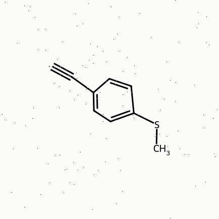 [C]#Cc1ccc(SC)cc1